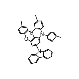 Cc1ccc(N2c3ccc(C)cc3B3c4cc(C)ccc4Oc4cc(-n5c6ccccc6c6ccccc65)cc2c43)cc1